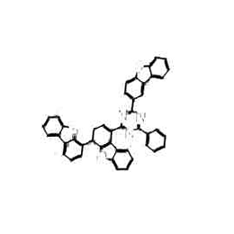 C1=C(c2nc(-c3ccccc3)nc(-c3ccc4sc5ccccc5c4c3)n2)c2c(oc3ccccc23)C(c2cccc3c2sc2ccccc23)C1